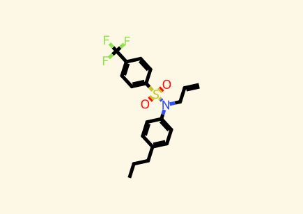 C=CCN(c1ccc(CCC)cc1)S(=O)(=O)c1ccc(C(F)(F)F)cc1